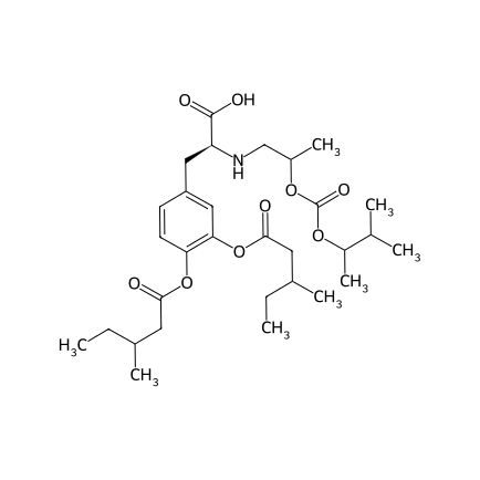 CCC(C)CC(=O)Oc1ccc(C[C@H](NCC(C)OC(=O)OC(C)C(C)C)C(=O)O)cc1OC(=O)CC(C)CC